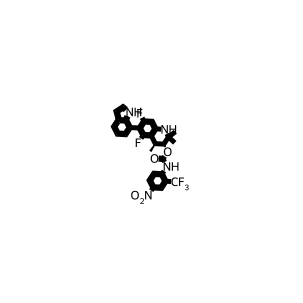 C[C@H]1c2c(cc(F)c(-c3cccc4cc[nH]c34)c2F)NC(C)(C)[C@@H]1OC(=O)Nc1ccc([N+](=O)[O-])cc1C(F)(F)F